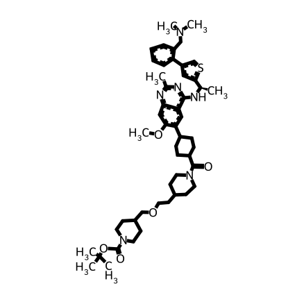 COc1cc2nc(C)nc(N[C@H](C)c3cc(-c4ccccc4CN(C)C)cs3)c2cc1C1CCC(C(=O)N2CCC(CCOCC3CCN(C(=O)OC(C)(C)C)CC3)CC2)CC1